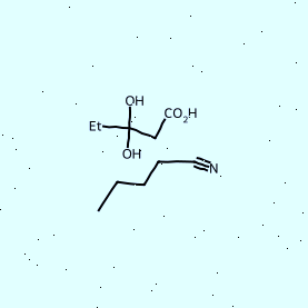 CCC(O)(O)CC(=O)O.CCCCC#N